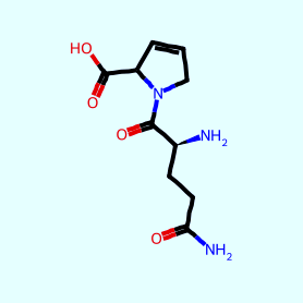 NC(=O)CC[C@H](N)C(=O)N1CC=CC1C(=O)O